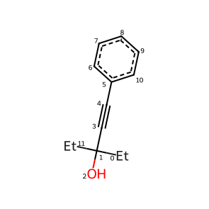 CCC(O)(C#Cc1cc[c]cc1)CC